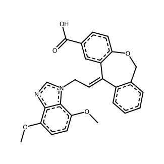 COc1ccc(OC)c2c1ncn2CC=C1c2ccccc2COc2ccc(C(=O)O)cc21